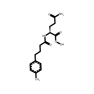 Cc1ccc(CCCC(=O)N[C@@H](CCC(N)=O)C(=O)OO)cc1